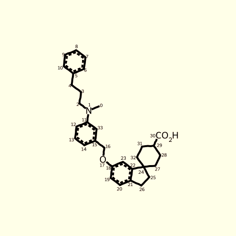 CN(CCCc1ccccc1)c1cccc(COc2ccc3c(c2)C2(CC3)CCC(C(=O)O)CC2)c1